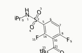 CC(C)NS(=O)(=O)c1ccc(F)c(C(=O)C(C)(C)C)c1F